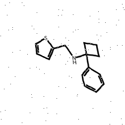 c1ccc(C2(NCc3cccs3)CCC2)cc1